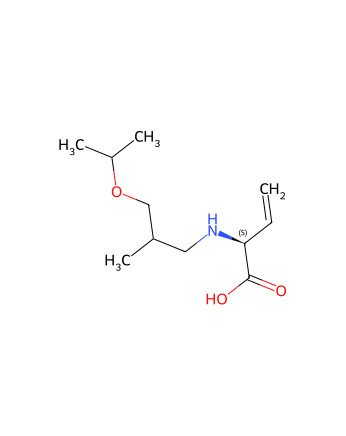 C=C[C@H](NCC(C)COC(C)C)C(=O)O